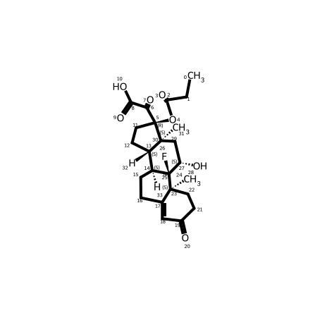 CCC(=O)O[C@]1(C(=O)C(=O)O)CC[C@H]2[C@@H]3CCC4=CC(=O)CC[C@]4(C)[C@@]3(F)[C@@H](O)C[C@@]21C